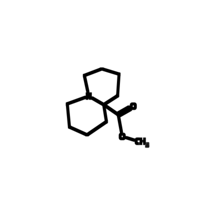 COC(=O)C12CCCCN1CCCC2